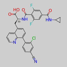 N#Cc1ccc(-c2ccc(C[C@H](NC(=O)c3c(F)cc(C(=O)NC4CC4)cc3F)C(=O)O)c3cccnc23)c(Cl)c1